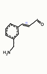 NCc1cccc(/C=C/[C]=O)c1